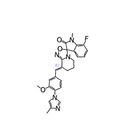 COc1cc(/C=C2\CCCN3C2=NOC32C(=O)N(C)c3c(F)cccc32)ccc1-n1cnc(C)c1